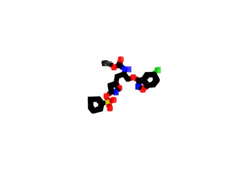 CC(C)(C)OC(=O)NC(COc1noc2ccc(Cl)cc12)Cc1cc(OS(=O)(=O)c2ccccc2)no1